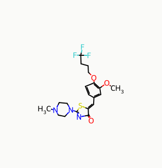 COc1cc(/C=C2\SC(N3CCN(C)CC3)=NC2=O)ccc1OCCCC(F)(F)F